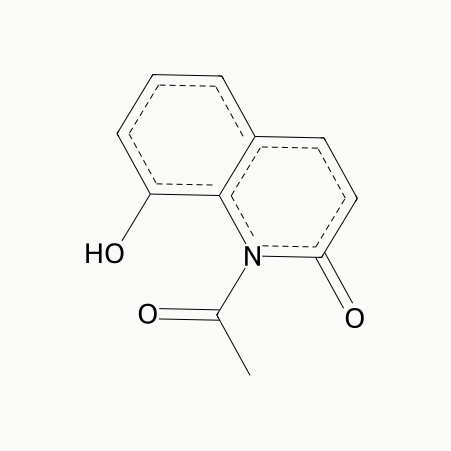 CC(=O)n1c(=O)ccc2cccc(O)c21